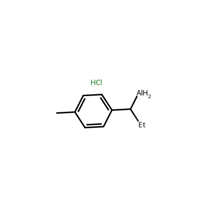 CC[CH]([AlH2])c1ccc(C)cc1.Cl